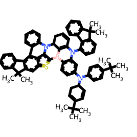 CC(C)(C)C1=CCC(N(c2ccc(C(C)(C)C)cc2)c2ccc3c(c2)N(c2cccc4c2-c2ccccc2C4(C)C)C2=C4B3c3sc5cc6c(c7c5c3N(c3ccccc3-7)C4CC=C2)-c2ccccc2C6(C)C)C=C1